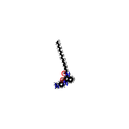 CCCCCCCCCCCCCCCCCC(=O)N=c1cc2oc3cc(N(C)C)ccc3nc-2c2ccccc12